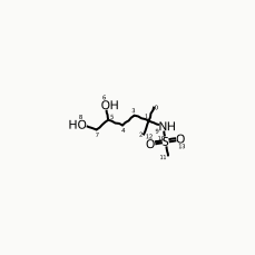 [CH2]C(C)(CCC(O)CO)NS(C)(=O)=O